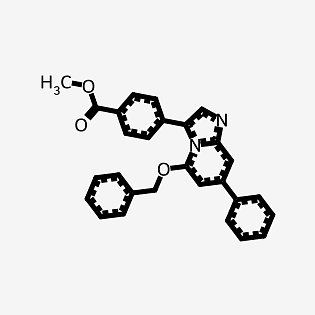 COC(=O)c1ccc(-c2cnc3cc(-c4ccccc4)cc(OCc4ccccc4)n23)cc1